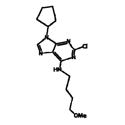 COCCCCNc1nc(Cl)nc2c1ncn2C1CCCC1